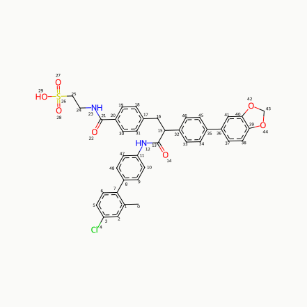 Cc1cc(Cl)ccc1-c1ccc(NC(=O)C(Cc2ccc(C(=O)NCCS(=O)(=O)O)cc2)c2ccc(-c3ccc4c(c3)OCO4)cc2)cc1